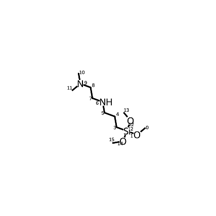 CO[Si](CCCNCCN(C)C)(OC)OC